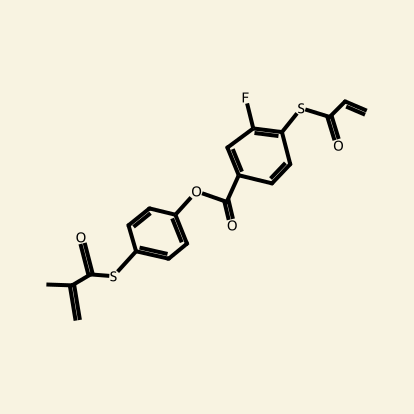 C=CC(=O)Sc1ccc(C(=O)Oc2ccc(SC(=O)C(=C)C)cc2)cc1F